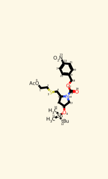 CC(=O)OCCSCC1CC(O[Si](C)(C)C(C)(C)C)CN1C(=O)OCc1ccc([N+](=O)[O-])cc1